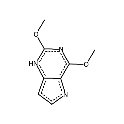 COc1nc(OC)c2nccc-2[nH]1